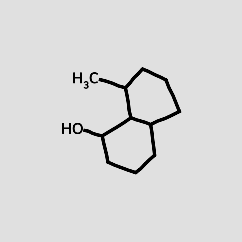 CC1CCCC2CCCC(O)C12